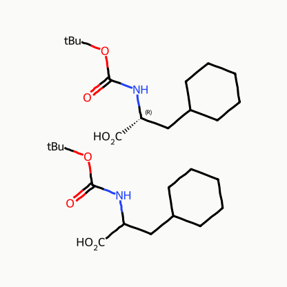 CC(C)(C)OC(=O)NC(CC1CCCCC1)C(=O)O.CC(C)(C)OC(=O)N[C@H](CC1CCCCC1)C(=O)O